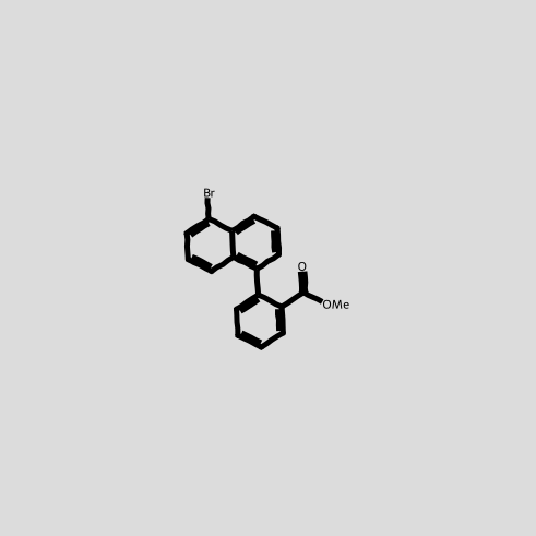 COC(=O)c1ccccc1-c1cccc2c(Br)cccc12